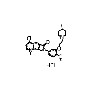 COc1ccc(N2Cc3c(cc4c(Cl)ccn(C)c3-4)C2=O)cc1OCCN1CCC(C)CC1.Cl